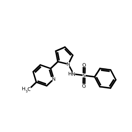 Cc1ccc(-c2cccn2NS(=O)(=O)c2ccccc2)nc1